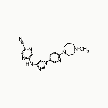 CN1CCCN(c2ccc(-n3cnc(Nc4cnc(C#N)cn4)c3)cn2)CC1